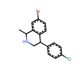 CC1NCC(c2ccc(Cl)cc2)c2ccc(Br)cc21